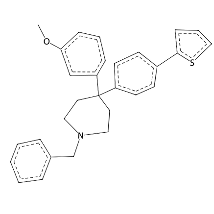 COc1cccc(C2(c3ccc(-c4cccs4)cc3)CCN(Cc3ccccc3)CC2)c1